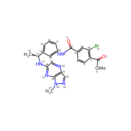 COC(=O)c1ccc(C(=O)Nc2cccc([C@H](C)Nc3cnc4cnn(C)c4n3)c2)cc1Br